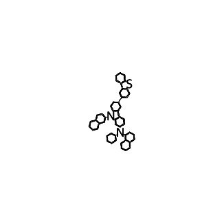 c1ccc(N(c2ccc3c4cc(-c5ccc6sc7ccccc7c6c5)ccc4n(-c4ccc5ccccc5c4)c3c2)c2cccc3ccccc23)cc1